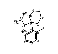 CCC(N)C(N)C1(c2ccccc2C)CCCCC1